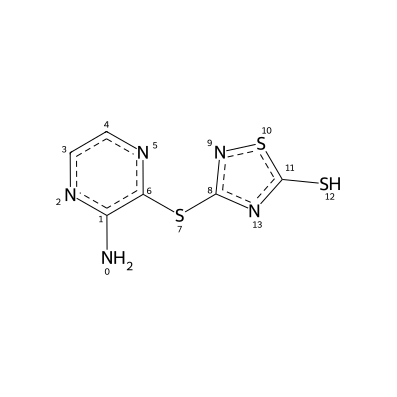 Nc1nccnc1Sc1nsc(S)n1